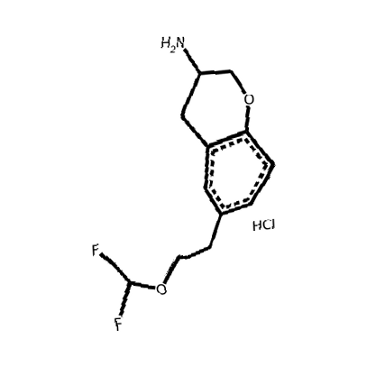 Cl.NC1COc2ccc(CCOC(F)F)cc2C1